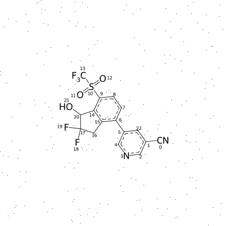 N#Cc1cncc(-c2ccc(S(=O)(=O)C(F)(F)F)c3c2CC(F)(F)C3O)c1